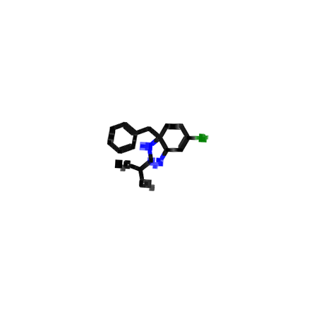 CC(C)CNC1(Cc2ccccc2)C=CC(Br)=CC1N